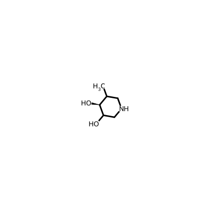 CC1CNCC(O)[C@H]1O